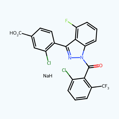 O=C(O)c1ccc(-c2nn(C(=O)c3c(Cl)cccc3C(F)(F)F)c3cccc(F)c23)c(Cl)c1.[NaH]